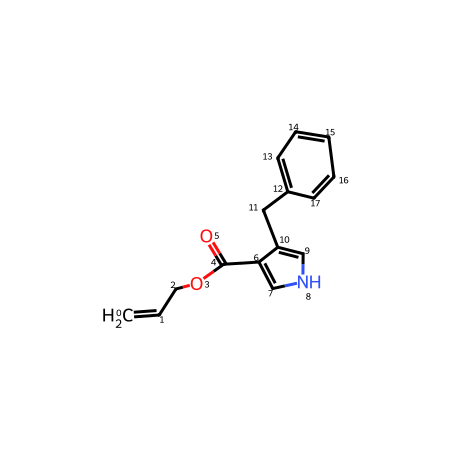 C=CCOC(=O)c1c[nH]cc1Cc1ccccc1